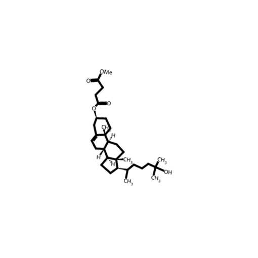 COC(=O)CCC(=O)O[C@H]1CC[C@@]2(C)C(=CC[C@H]3[C@@H]4CC[C@H](C(C)CCCC(C)(C)O)[C@@]4(C)CC[C@@H]32)C1